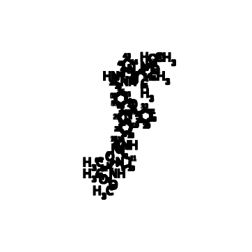 COC(=O)NC(C(=O)N1CCCC1c1ncc(-c2ccc3c(c2)cc2n3[C@H](c3ccccc3)Oc3cc(C4=CNC(C5CCCN5C(=O)C(NC(=O)OC)C(C)C)N4)ccc3-2)[nH]1)C(C)C